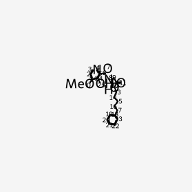 COc1ccnc(C(=O)NCC(=O)OCCCCCc2ccccc2)c1O